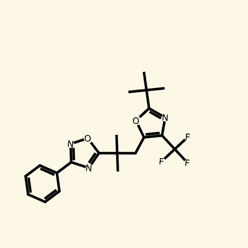 CC(C)(C)c1nc(C(F)(F)F)c(CC(C)(C)c2nc(-c3ccccc3)no2)o1